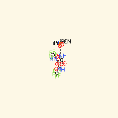 CC(C)N(C(C)C)P(OCCC#N)OCCCCCCNC(=O)c1ccc2c(c1)C1(OC2=O)c2ccc(NC(=O)c3c(F)c(F)c(F)c(F)c3F)cc2Oc2cc(NC(=O)c3c(F)c(F)c(F)c(F)c3F)ccc21